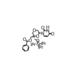 CC(C)[Si](OC[C@]1(COC(=O)c2ccccc2)COC[C@H](n2ccc(=O)[nH]c2=O)O1)(C(C)C)C(C)C